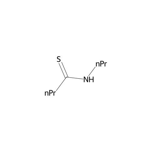 CCCNC(=S)CCC